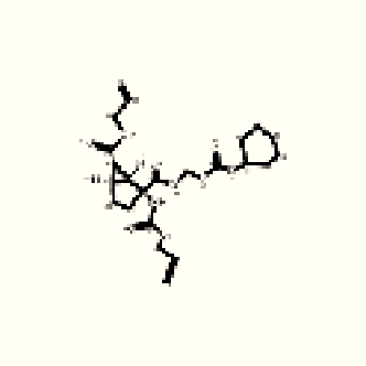 C=CCOC(=O)N[C@@]1(C(=O)OCOC(=O)OC2CCCCC2)CC[C@H]2[C@H](C(=O)OCC=C)[C@H]21